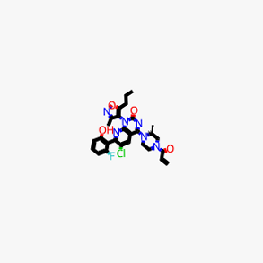 C=CC(=O)N1CCN(c2nc(=O)n(-c3c(C)noc3CCC)c3nc(-c4c(O)cccc4F)c(Cl)cc23)[C@@H](C)C1